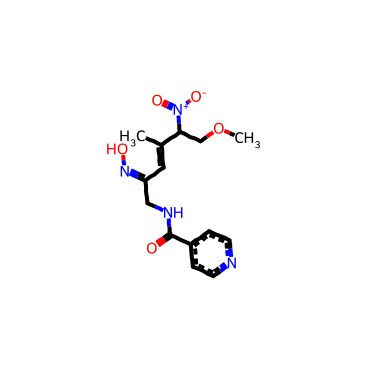 COCC(/C(C)=C/C(CNC(=O)c1ccncc1)=N\O)[N+](=O)[O-]